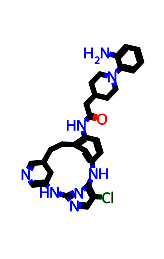 Nc1ccccc1N1CCC(CC(=O)Nc2ccc3cc2CCC2C=NC=C(C2)Nc2ncc(Cl)c(n2)N3)CC1